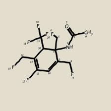 CC(=O)NC1(CF)C(CF)=CC(F)=C(CF)C1C(F)(F)F